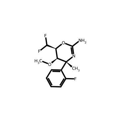 CO[C@H]1[C@@H](C(F)F)OC(N)=N[C@]1(C)c1ccccc1F